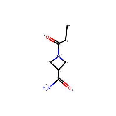 CCC(=O)N1CC(C(N)=O)C1